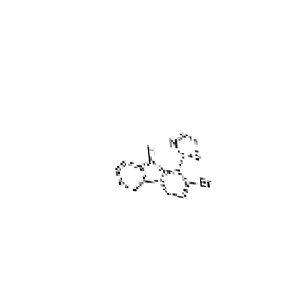 Brc1ccc2c([nH]c3ccccc32)c1-c1nccs1